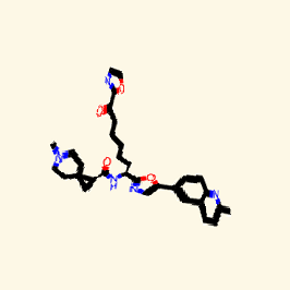 Cc1ccc2cc(-c3cnc([C@H](CCCCCC(=O)c4ncco4)NC(=O)[C@H]4CC45CCN(C)CC5)o3)ccc2n1